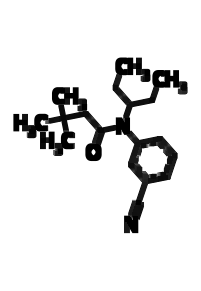 CCC(CC)N(C(=O)CC(C)(C)C)c1cccc(C#N)c1